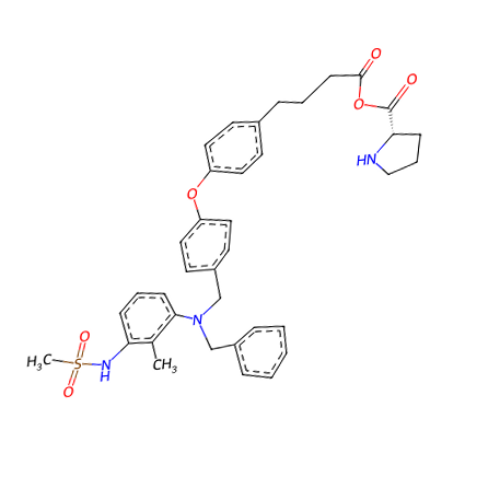 Cc1c(NS(C)(=O)=O)cccc1N(Cc1ccccc1)Cc1ccc(Oc2ccc(CCCC(=O)OC(=O)[C@@H]3CCCN3)cc2)cc1